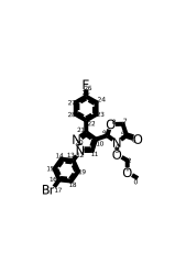 COCON1C(=O)COC1c1cn(-c2ccc(Br)cc2)nc1-c1ccc(F)cc1